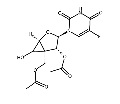 CC(=O)OC[C@]12C(O)[C@H]1O[C@@H](n1cc(F)c(=O)[nH]c1=O)[C@@H]2OC(C)=O